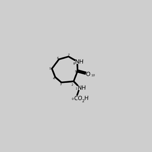 O=C(O)NC1CCCCCNC1=O